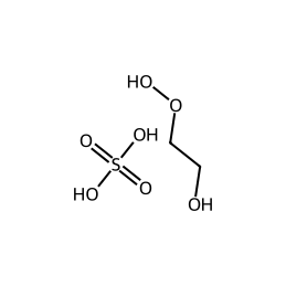 O=S(=O)(O)O.OCCOO